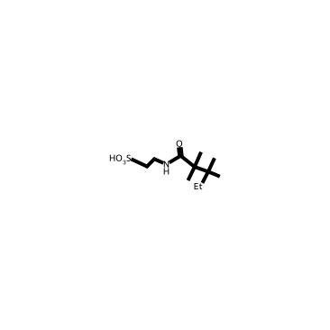 CCC(C)(C)C(C)(C)C(=O)NCCS(=O)(=O)O